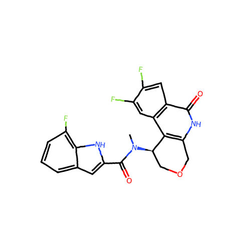 CN(C(=O)c1cc2cccc(F)c2[nH]1)[C@@H]1COCc2[nH]c(=O)c3cc(F)c(F)cc3c21